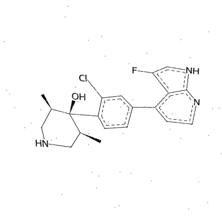 C[C@@H]1CNC[C@H](C)[C@@]1(O)c1ccc(-c2ccnc3[nH]cc(F)c23)cc1Cl